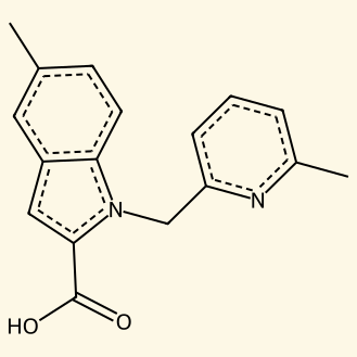 Cc1ccc2c(c1)cc(C(=O)O)n2Cc1cccc(C)n1